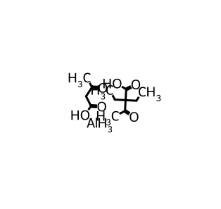 CC(=O)CC(=O)O.CCC(CC)(C(C)=O)C(=O)O.[AlH3]